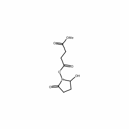 COC(=O)CCC(=O)ON1C(=O)CCC1O